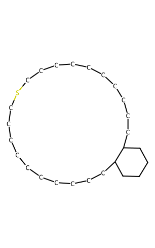 C1CCCCCC2CCCCC2CCCCCCCCCCSCCCC1